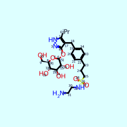 CC(C)c1[nH]nc(O[C@@H]2O[C@H](CO)[C@@H](O)[C@H](O)[C@H]2O)c1Cc1ccc(CCCS(=O)(=O)NCCN)cc1